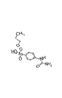 CCCOO[As](=O)(O)c1ccc(NC(N)=O)cc1